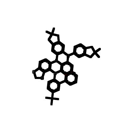 Cc1cc2c3c(c1)N(c1ccc(C(C)(C)C)cc1-c1ccccc1)c1c(ccc4c1OCO4)B3c1cc3c(cc1N2c1ccc2c(c1)CC(C)(C)C2)CC(C)(C)C3